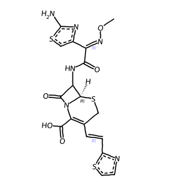 CO/N=C(/C(=O)NC1C(=O)N2C(C(=O)O)=C(/C=C/c3nccs3)CS[C@H]12)c1csc(N)n1